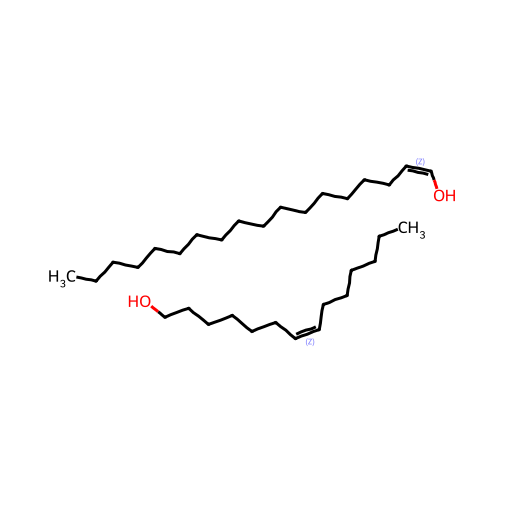 CCCCCC/C=C\CCCCCCO.CCCCCCCCCCCCCCCC/C=C\O